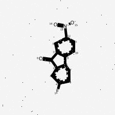 O=C1c2cc(F)ccc2-c2ccc([N+](=O)[O-])cc21